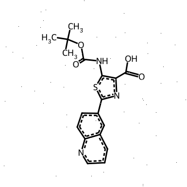 CC(C)(C)OC(=O)Nc1sc(-c2ccc3ncccc3c2)nc1C(=O)O